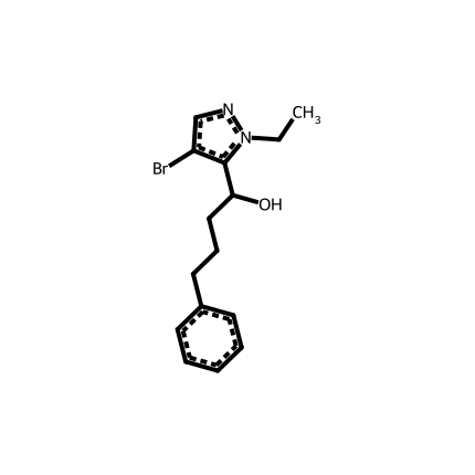 CCn1ncc(Br)c1C(O)CCCc1ccccc1